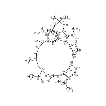 Cc1cc2nc3sc2c(c1[C@H](OC(C)(C)C)C(=O)O)-c1ccc2c(c1)C(CCO2)CCC(C)CC1CN(CCN1C)c1nn(C)c2ccc-3cc12